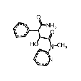 CN(C(=O)C(O)C(C(N)=O)c1ccccc1)c1ccccn1